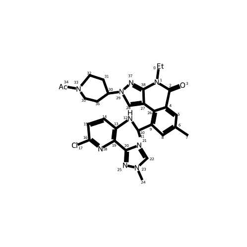 CCn1c(=O)c2cc(C)cc(C(C)Nc3ccc(Cl)nc3-c3ncn(C)n3)c2c2cn(C3CCN(C(C)=O)CC3)nc21